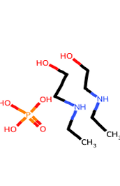 CCNCCO.CCNCCO.O=P(O)(O)O